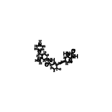 Cc1ccc(C(=O)Nc2ccc(CN3CCN(C)CC3)c([Si](C)(C)C)c2)cc1C#Cc1cnc2[nH]c(=O)[nH]c2c1